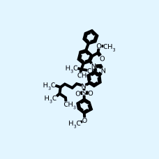 CCC(C)C(C)CCCN(c1ccc2ncn(-c3c(C(C)(C)C)ccc(-c4ccccc4)c3C(=O)OC)c2c1)S(=O)(=O)c1ccc(OC)cc1